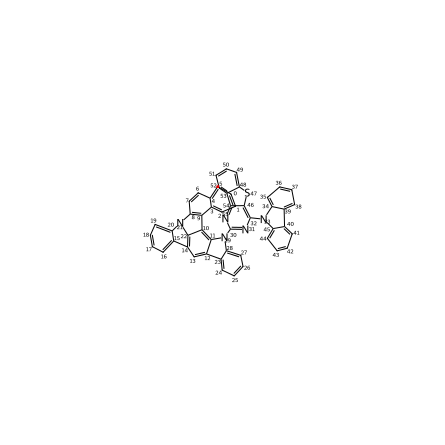 c1ccc2c(c1)ccc1c2c2c3c(cc4c5ccccc5n1c42)c1ccccc1n3-c1nc(-n2c3ccccc3c3ccccc32)c2sc3ccccc3c2n1